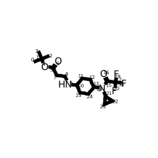 CC(C)(C)OC(=O)CCNC1CCC(N(C(=O)C(F)(F)F)C2CC2)CC1